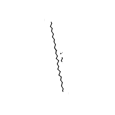 CCCCCCCCCCCCCCCCCCCCCCCCCCCC.CCCOS(=O)O